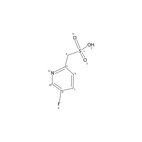 O=S(=O)(O)Cc1ccc(F)cn1